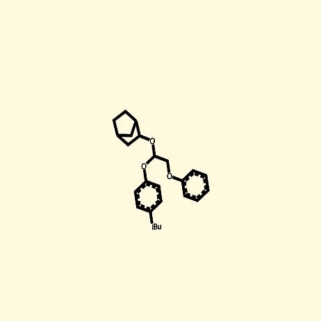 CCC(C)c1ccc(OC(COc2ccccc2)OC2CC3CCC2C3)cc1